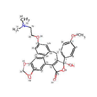 COc1ccc(C2(O)OC(=O)C(c3ccc4c(c3)OCO4)=C2Cc2cccc(OCCN(C)C)c2)cc1